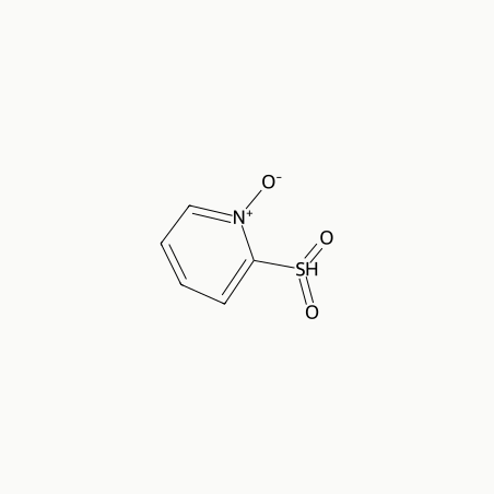 O=[SH](=O)c1cccc[n+]1[O-]